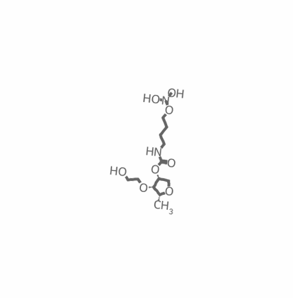 C[C@H]1OC[C@@H](OC(=O)NCCCCON(O)O)[C@H]1OCCO